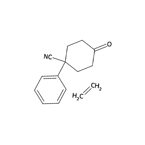 C=C.N#CC1(c2ccccc2)CCC(=O)CC1